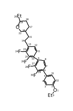 CCOc1ccc(-c2ccc(-c3ccc(CCC4CCC(CC)OC4)c(F)c3F)c(F)c2F)cc1